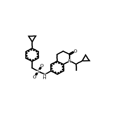 CC(C1CC1)N1C(=O)CCc2cc(NS(=O)(=O)Cc3ccc(C4CC4)cc3)ccc21